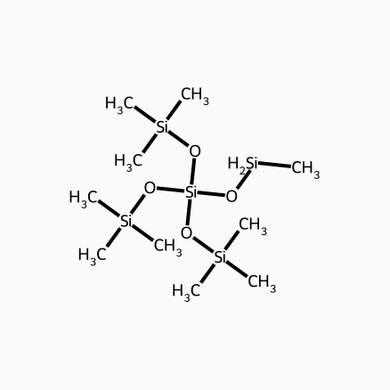 C[SiH2]O[Si](O[Si](C)(C)C)(O[Si](C)(C)C)O[Si](C)(C)C